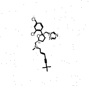 CN(CC=CC#CC(C)(C)C)C[C@@H]1CC[C@@](Cn2cncn2)(c2ccc(Cl)cc2Cl)O1